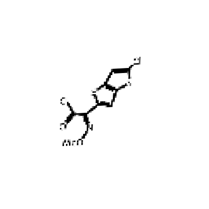 CON=C(C(=O)Cl)c1cc2sc(Cl)cc2s1